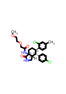 COCCOCC(=O)N[C@@]12CC[C@@H](c3ccc(C)cc3Cl)[C@H](c3ccc(Cl)cc3)[C@@H]1CNC2=O